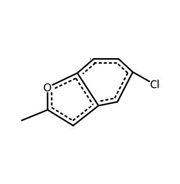 Cc1cc2cc(Cl)c[c]c2o1